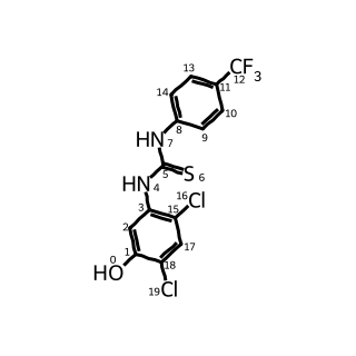 Oc1cc(NC(=S)Nc2ccc(C(F)(F)F)cc2)c(Cl)cc1Cl